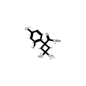 COC(=O)C1(c2ccc(Cl)cc2F)CC(C)(O)C1